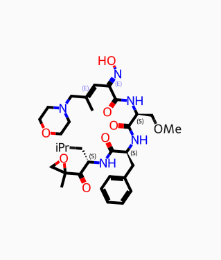 COC[C@H](NC(=O)C(/C=C(\C)CN1CCOCC1)=N/O)C(=O)N[C@@H](Cc1ccccc1)C(=O)N[C@@H](CC(C)C)C(=O)C1(C)CO1